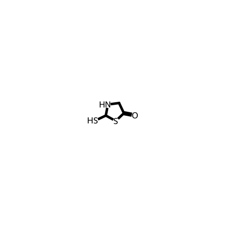 O=C1CNC(S)S1